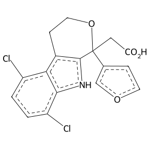 O=C(O)CC1(c2ccoc2)OCCc2c1[nH]c1c(Cl)ccc(Cl)c21